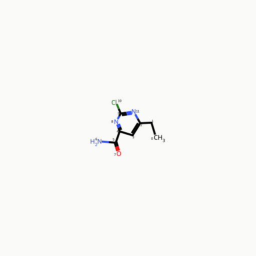 CCc1cc(C(N)=O)nc(Cl)n1